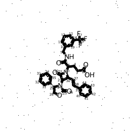 O=C(O)CCC(C(=O)NCc1cccc(C(F)(F)F)c1)N1C(=O)C(N2C(=O)OC[C@@H]2c2ccccc2)C1C=Cc1ccccc1